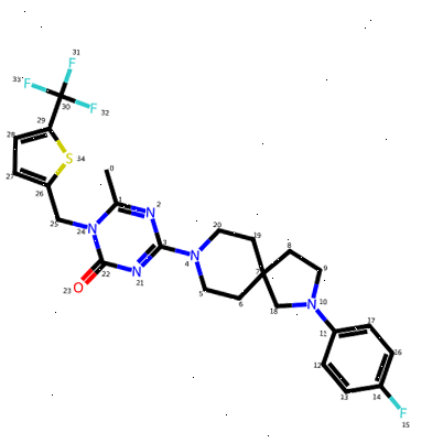 Cc1nc(N2CCC3(CCN(c4ccc(F)cc4)C3)CC2)nc(=O)n1Cc1ccc(C(F)(F)F)s1